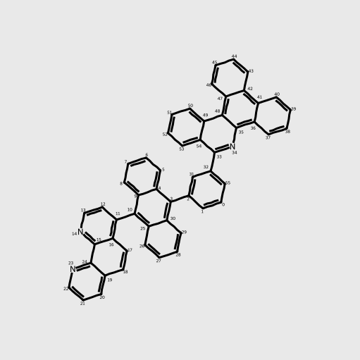 c1cc(-c2c3ccccc3c(-c3ccnc4c3ccc3cccnc34)c3ccccc23)cc(-c2nc3c4ccccc4c4ccccc4c3c3ccccc23)c1